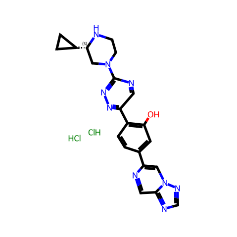 Cl.Cl.Oc1cc(-c2cn3ncnc3cn2)ccc1-c1cnc(N2CCN[C@@H](C3CC3)C2)nn1